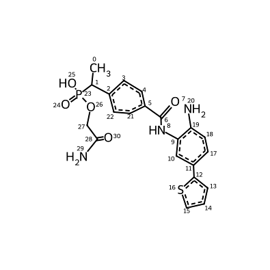 CC(c1ccc(C(=O)Nc2cc(-c3cccs3)ccc2N)cc1)P(=O)(O)OCC(N)=O